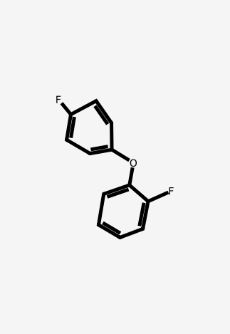 Fc1ccc(Oc2ccccc2F)cc1